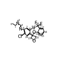 CCN(C)C=Nc1cc(C)c(C2(Oc3ncccc3C(F)(F)F)COC2)cc1Cl